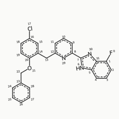 Fc1cccc2[nH]c(-c3cccc(Cc4cc(Cl)ccc4OCc4ccccc4)n3)nc12